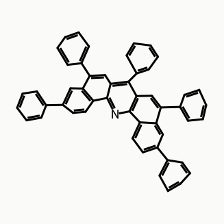 c1ccc(-c2ccc3c(c2)c(-c2ccccc2)cc2c(-c4ccccc4)c4cc(-c5ccccc5)c5cc(-c6ccccc6)ccc5c4nc23)cc1